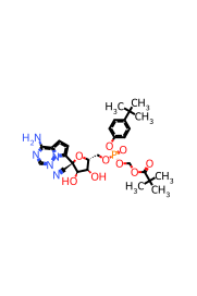 CC(C)(C)C(=O)OCOP(=O)(OC[C@H]1O[C@@](C#N)(c2ccc3c(N)ncnn23)[C@H](O)[C@@H]1O)Oc1ccc(C(C)(C)C)cc1